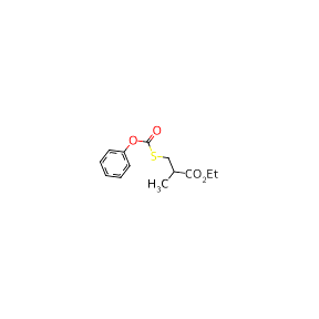 CCOC(=O)C(C)CSC(=O)Oc1ccccc1